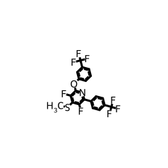 CSc1c(F)c(Oc2cccc(C(F)(F)F)c2)nc(-c2ccc(C(F)(F)F)cc2)c1F